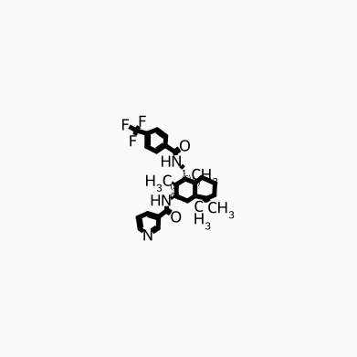 C[C@@H]1[C@H](NC(=O)c2cccnc2)CC2C(C)(C)CCC[C@]2(C)[C@H]1CNC(=O)c1ccc(C(F)(F)F)cc1